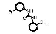 Cc1ccccc1NC(=O)Nc1cccc(Br)c1